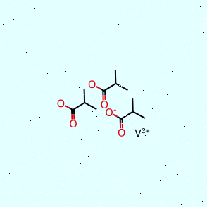 CC(C)C(=O)[O-].CC(C)C(=O)[O-].CC(C)C(=O)[O-].[V+3]